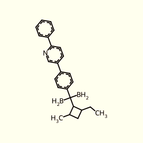 BC(B)(c1ccc(-c2ccc(-c3ccccc3)nc2)cc1)C1C(C)CC1CC